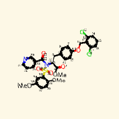 COC(=O)[C@H](Cc1ccc(OCc2c(Cl)cccc2Cl)cc1)N(C(=O)c1cccnc1)S(=O)(=O)c1cc(OC)ccc1OC